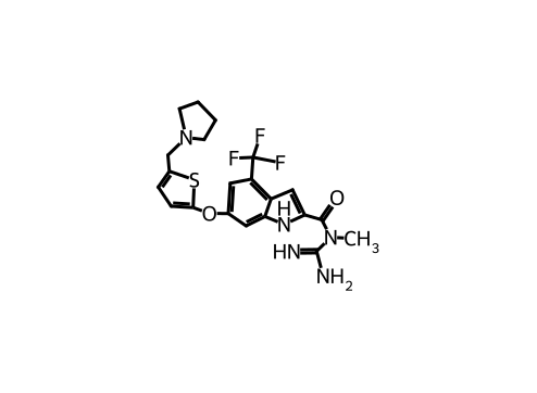 CN(C(=N)N)C(=O)c1cc2c(C(F)(F)F)cc(Oc3ccc(CN4CCCC4)s3)cc2[nH]1